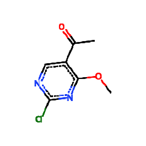 COc1nc(Cl)ncc1C(C)=O